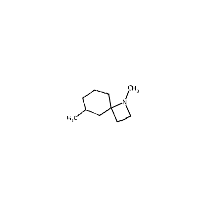 CC1CCCC2(CCN2C)C1